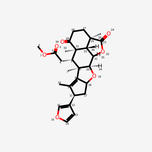 COC(=O)C[C@H]1[C@]2(C)C3=C(C)[C@H](c4ccoc4)CC3O[C@@H]2[C@@H]2OC(=O)[C@]3(C)CCC(=O)[C@@]1(C)[C@@H]23